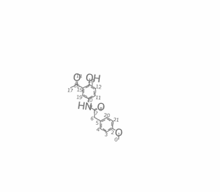 COc1ccc(CC(=O)Nc2ccc(O)c(C(C)=O)c2)cc1